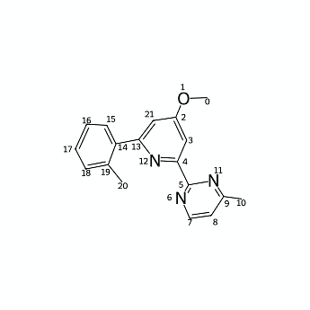 COc1cc(-c2nccc(C)n2)nc(-c2ccccc2C)c1